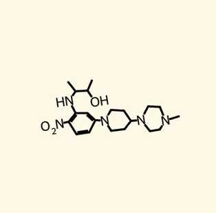 CC(O)C(C)Nc1cc(N2CCC(N3CCN(C)CC3)CC2)ccc1[N+](=O)[O-]